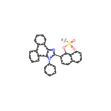 O=S(=O)(Oc1c(-c2nc3c4ccccc4c4ccccc4c3n2-c2ccccc2)ccc2ccccc12)C(F)(F)F